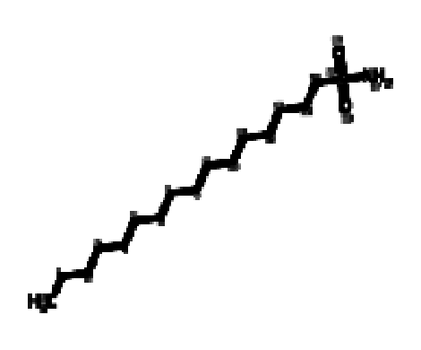 CCCCCCCCCCCCCCCCS(N)(=O)=O